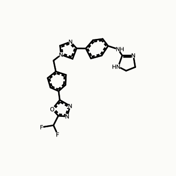 FC(F)c1nnc(-c2ccc(Cn3cnc(-c4ccc(NC5=NCCN5)cc4)c3)cc2)o1